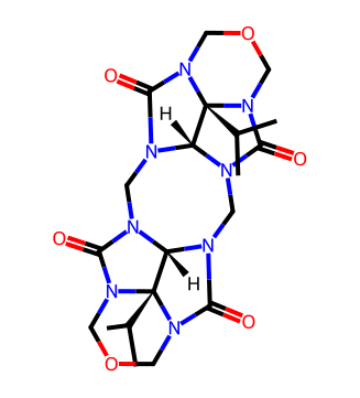 CC(C)[C@]12[C@H]3N4CN5C(=O)N6COCN7C(=O)N(CN3C(=O)N1COCN2C4=O)[C@@H]5[C@]76C(C)C